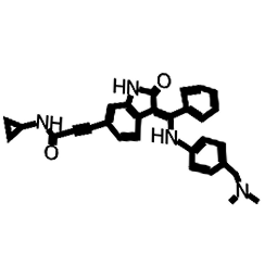 CN(C)Cc1ccc(N/C(=C2/C(=O)Nc3cc(C#CC(=O)NC4CC4)ccc32)c2ccccc2)cc1